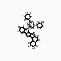 c1ccc(-c2nc(-c3ccccc3)nc(-n3c4ccccc4c4sc5c(sc6ccc7ccccc7c65)c43)n2)cc1